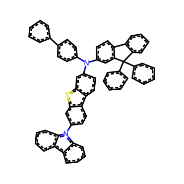 c1ccc(-c2ccc(N(c3ccc4c(c3)C(c3ccccc3)(c3ccccc3)c3ccccc3-4)c3ccc4c(c3)sc3cc(-n5c6ccccc6c6ccccc65)ccc34)cc2)cc1